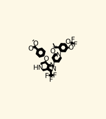 COC(=O)c1ccc(OC2CNCc3c(C(F)(F)F)nn(-c4ccnc(O[C@@H](C)c5ccc6c(c5)OC(F)(F)O6)c4)c32)cc1